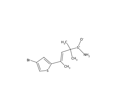 CC(=CC(C)(C)[S+](N)[O-])c1cc(Br)cs1